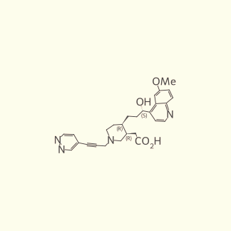 COc1ccc2nccc([C@@H](O)CC[C@@H]3CCN(CC#Cc4ccnnc4)C[C@@H]3CC(=O)O)c2c1